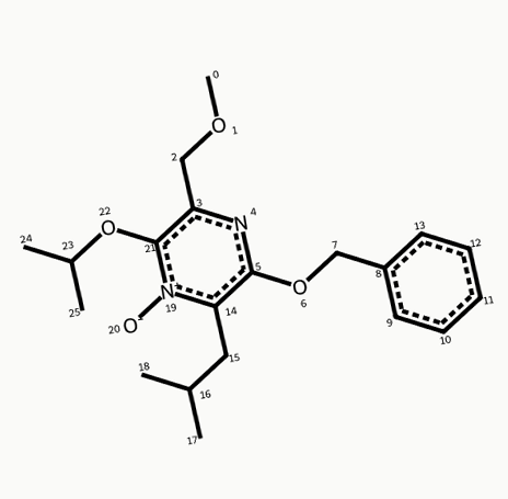 COCc1nc(OCc2ccccc2)c(CC(C)C)[n+]([O-])c1OC(C)C